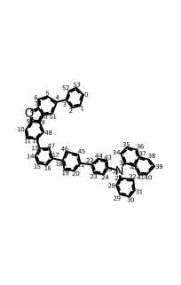 c1ccc(-c2ccc3oc4ccc(-c5cccc(-c6ccc(-c7ccc(N(c8ccccc8)c8cccc9ccccc89)cc7)cc6)c5)cc4c3c2)cc1